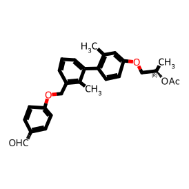 CC(=O)O[C@H](C)COc1ccc(-c2cccc(COc3ccc(C=O)cc3)c2C)c(C)c1